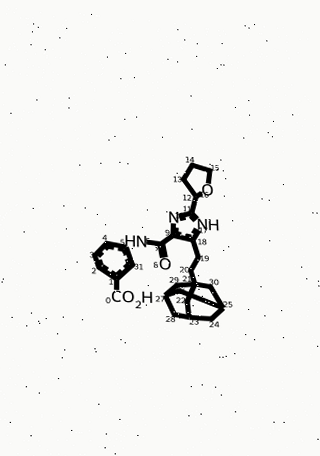 O=C(O)c1cccc(NC(=O)c2nc(C3CCCO3)[nH]c2CCC23CC4CC(CC(C4)C2)C3)c1